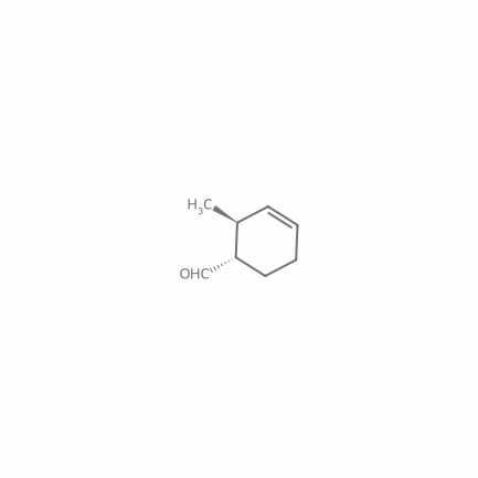 C[C@H]1C=CCC[C@@H]1C=O